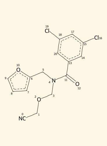 N#CCOCN(Cc1ccco1)C(=O)c1cc(Cl)cc(Cl)c1